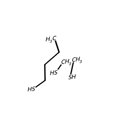 CCCCS.CS.CS